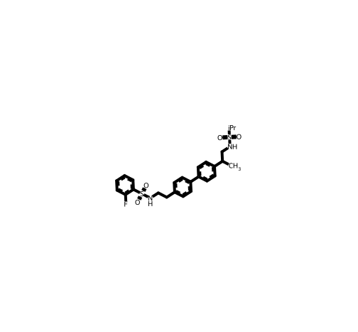 CC(CNS(=O)(=O)C(C)C)c1ccc(-c2ccc(CCNS(=O)(=O)c3ccccc3F)cc2)cc1